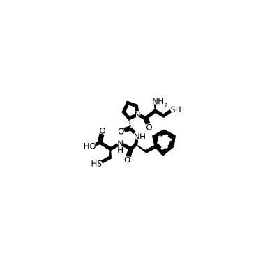 N[C@@H](CS)C(=O)N1CCC[C@H]1C(=O)N[C@@H](Cc1ccccc1)C(=O)N[C@@H](CS)C(=O)O